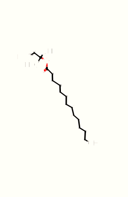 CCCCCCCCCCCCCC(=O)OC(C)(C)CC